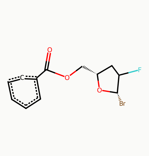 O=C(OC[C@@H]1CC(F)[C@H](Br)O1)c1ccccc1